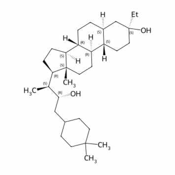 CC[C@]1(O)CC[C@H]2[C@@H](CC[C@@H]3[C@@H]2CC[C@]2(C)[C@@H]([C@H](C)[C@H](O)CC4CCC(C)(C)CC4)CC[C@@H]32)C1